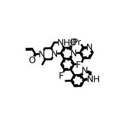 C=CC(=O)N1CC2CNc3c(c4cc(F)c(-c5c(C)ccc6[nH]cnc56)c(F)c4n(-c4c(C)ccnc4C(C)C)c3=O)N2CC1C